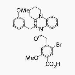 COc1cccc(CNN(C(=O)Cc2cc(OC)c(C(=O)O)cc2Br)c2ccccc2N2CCCCC2)c1